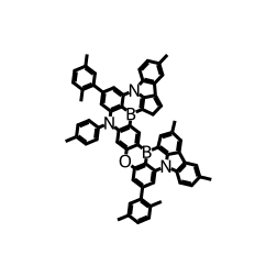 Cc1ccc(N2c3cc4c(cc3B3C5=c6c(c7cc(C)ccc7n6-c6cc(-c7cc(C)ccc7C)cc2c63)=CC5)B2c3c(cc(-c5cc(C)ccc5C)cc3-n3c5ccc(C)cc5c5cc(C)cc2c53)O4)cc1